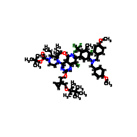 CC[C@H]1[C@H]2[C@H](C)Oc3nc(-c4cc(N(Cc5ccc(OC)cc5)Cc5ccc(OC)cc5)c(F)c(C)c4C(F)(F)F)c(F)c4nc(OCC5(CO[Si](C)(C)C(C)(C)C)CC5)nc(c34)N2CCN1C(=O)OC(C)(C)C